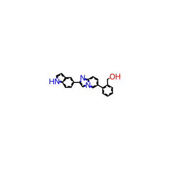 OCc1ccccc1-c1ccc2nc(-c3ccc4[nH]ccc4c3)cn2c1